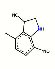 Cc1ccc(N=O)c2c1C(C#N)CN2